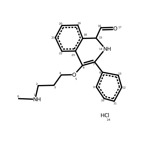 CNCCCOC1=C(c2ccccc2)NC(C=O)c2ccccc21.Cl